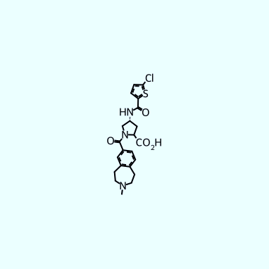 CN1CCc2ccc(C(=O)N3C[C@H](NC(=O)c4ccc(Cl)s4)CC3C(=O)O)cc2CC1